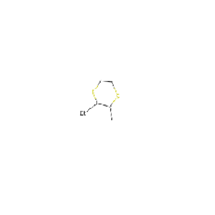 CCC1SCCSC1C